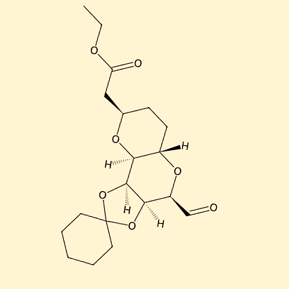 CCOC(=O)C[C@H]1CC[C@@H]2O[C@@H](C=O)[C@H]3OC4(CCCCC4)O[C@H]3[C@H]2O1